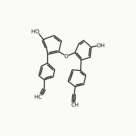 C#Cc1ccc(-c2cc(O)ccc2Oc2ccc(O)cc2-c2ccc(C#C)cc2)cc1